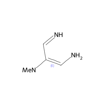 CN/C(C=N)=C/N